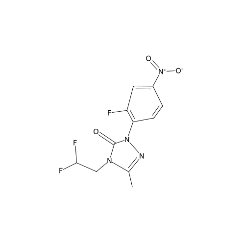 Cc1nn(-c2ccc([N+](=O)[O-])cc2F)c(=O)n1CC(F)F